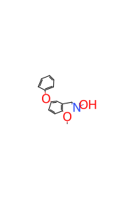 COc1ccc(Oc2ccccc2)cc1/C=N/O